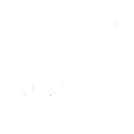 CC(C)(C)c1cc(NC(=O)Nc2ccc(OCCc3ccncc3)cc2)[nH]n1